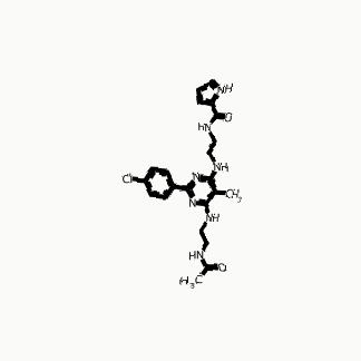 CC(=O)NCCNc1nc(-c2ccc(Cl)cc2)nc(NCCNC(=O)c2ccc[nH]2)c1C